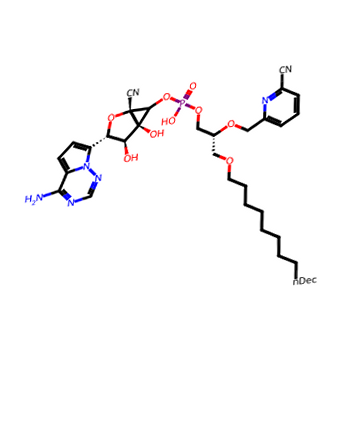 CCCCCCCCCCCCCCCCCCOC[C@H](COP(=O)(O)OC1[C@@]2(C#N)O[C@@H](c3ccc4c(N)ncnn34)[C@H](O)[C@@]12O)OCc1cccc(C#N)n1